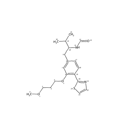 COCCCOc1cc(CC(NC=O)C(C)C)ccc1-c1nccs1